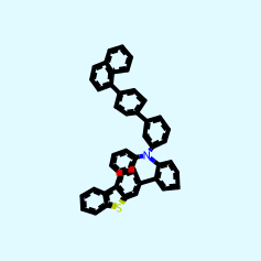 c1ccc(N(c2cccc(-c3ccc(-c4cccc5ccccc45)cc3)c2)c2ccccc2-c2ccc3c(c2)sc2ccccc23)cc1